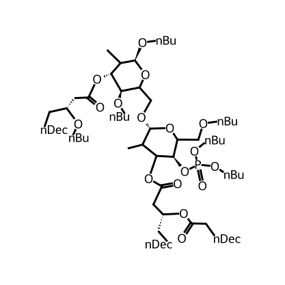 CCCCCCCCCCCC(=O)O[C@H](CCCCCCCCCCC)CC(=O)OC1C(C)[C@H](OCC2O[C@H](OCCCC)C(C)[C@@H](OC(=O)C[C@@H](CCCCCCCCCCC)OCCCC)[C@@H]2OCCCC)OC(COCCCC)[C@H]1OP(=O)(OCCCC)OCCCC